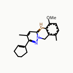 COc1ccc(C)c2c1[SH]=C1C=C(C)C(C3=CCCCC3)=NN1C2